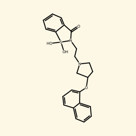 O=C1c2ccccc2S(O)(O)N1CCN1CCC(Oc2cccc3ccccc23)C1